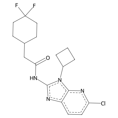 O=C(CC1CCC(F)(F)CC1)Nc1nc2ccc(Cl)nc2n1C1CCC1